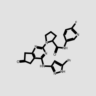 CC(C)c1cc(Nc2nc(N3CCCC3C(=O)Nc3ccc(F)nc3)nc3c2CC(=O)C3)n[nH]1